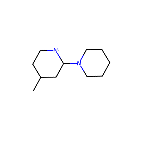 CC1CC[N]C(N2CCCCC2)C1